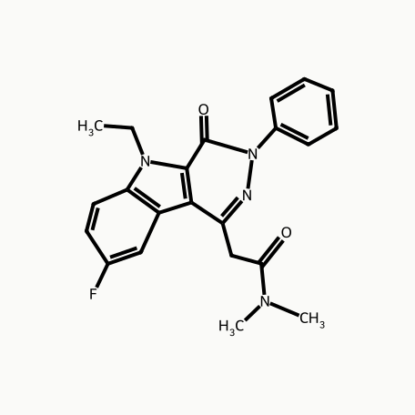 CCn1c2ccc(F)cc2c2c(CC(=O)N(C)C)nn(-c3ccccc3)c(=O)c21